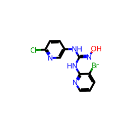 O/N=C(\Nc1ccc(Cl)nc1)Nc1ncccc1Br